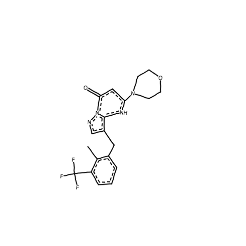 Cc1c(Cc2cnn3c(=O)cc(N4CCOCC4)[nH]c23)cccc1C(F)(F)F